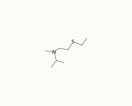 CCSCCN(C)C(C)C